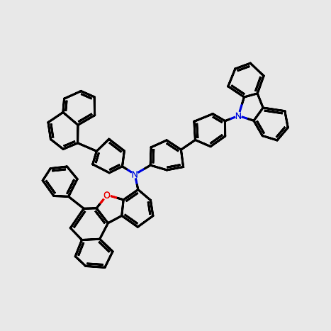 c1ccc(-c2cc3ccccc3c3c2oc2c(N(c4ccc(-c5ccc(-n6c7ccccc7c7ccccc76)cc5)cc4)c4ccc(-c5cccc6ccccc56)cc4)cccc23)cc1